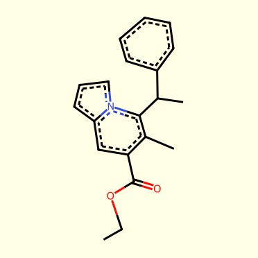 CCOC(=O)c1cc2cccn2c(C(C)c2ccccc2)c1C